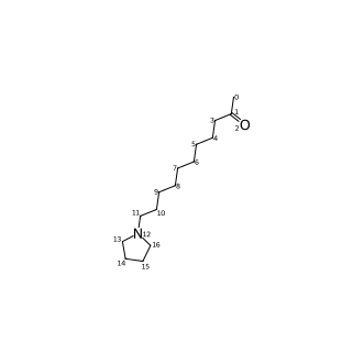 CC(=O)CCCCCCCCCN1CCCC1